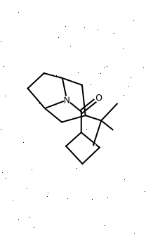 CC(C)(C)C1CC2CCC(C1)N2C(=O)C1CCC1